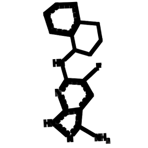 Nc1n[nH]c2nc(NC3CCCc4ccccc43)c(F)cc12